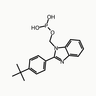 CC(C)(C)c1ccc(-c2nc3ccccc3n2COP(O)O)cc1